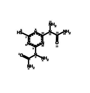 NC(=O)N(N)c1nc(S)nc(N(N)C(N)=O)n1